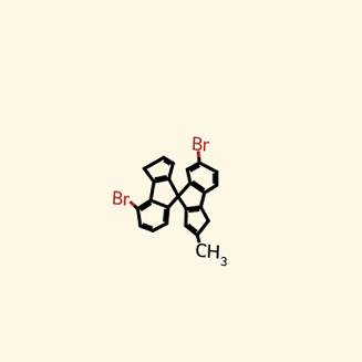 CC1=CC2=C(C1)c1ccc(Br)cc1C21C2=C(CC=C2)c2c(Br)cccc21